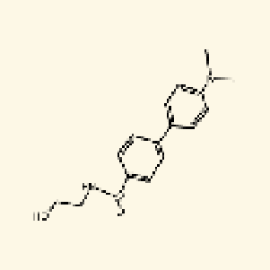 CN(C)c1ccc(-c2ccc([S+]([O-])NCCO)cc2)cc1